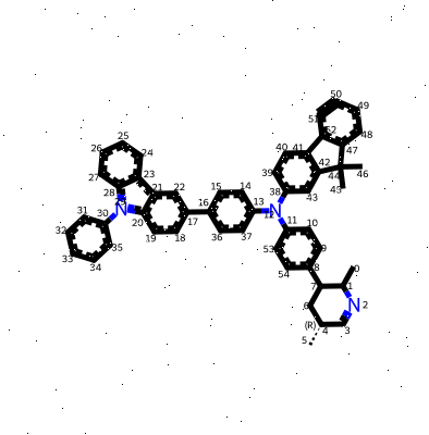 CC1N=C[C@H](C)CC1c1ccc(N(c2ccc(-c3ccc4c(c3)c3ccccc3n4-c3ccccc3)cc2)c2ccc3c(c2)C(C)(C)c2ccc#cc2-3)cc1